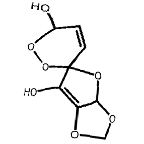 OC1=C2OCOC2OC12C=CC(O)OO2